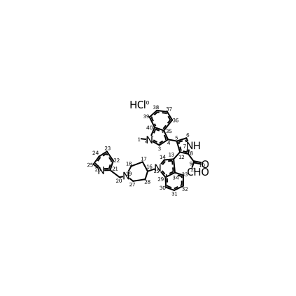 Cl.Cn1cc(-c2c[nH]c(C(=O)C=O)c2-c2cn(C3CCN(Cc4ccccn4)CC3)c3ccccc23)c2ccccc21